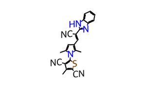 Cc1c(C#N)sc(-n2c(C)cc(C=C(C#N)c3nc4ccccc4[nH]3)c2C)c1C#N